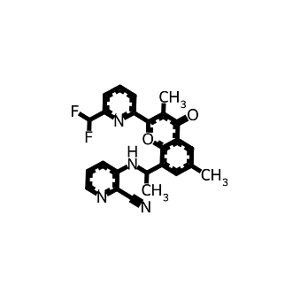 Cc1cc(C(C)Nc2cccnc2C#N)c2oc(-c3cccc(C(F)F)n3)c(C)c(=O)c2c1